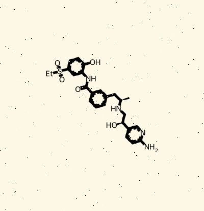 CCS(=O)(=O)c1ccc(O)c(NC(=O)c2cccc(C[C@@H](C)NC[C@H](O)c3ccc(N)nc3)c2)c1